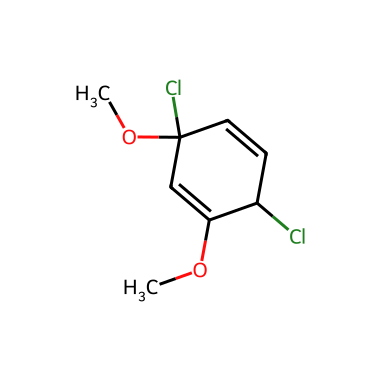 COC1=CC(Cl)(OC)C=CC1Cl